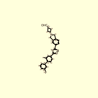 Cc1cc(-c2nc(-c3ccc4c(c3)CN([C@H]3C[C@H](C=O)C3)C4)no2)ccc1-c1cccc(F)c1